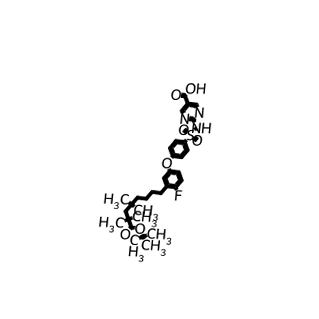 CC(C)(CCCCc1cc(Oc2ccc(S(=O)(=O)Nc3ncc(C(=O)O)cn3)cc2)ccc1F)CC(C)(C)C(=O)OC(C)(C)C